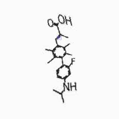 C/C(=C\c1c(C)c(C)c(-c2ccc(NC(C)C)cc2F)c(C)c1C)C(=O)O